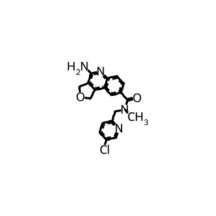 CN(Cc1ccc(Cl)cn1)C(=O)c1ccc2nc(N)c3c(c2c1)COC3